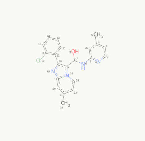 Cc1ccnc(NC(O)c2c(-c3ccccc3Cl)nc3cc(C)ccn23)c1